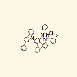 C=N/C(=N\C(=N/Cc1ccccc1)c1cc(-n2c3ccccc3c3ccc(-c4ccccc4)cc32)cc2c3ccccc3c3ccccc3c12)C1C=CC=CC1